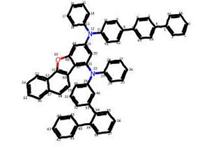 c1ccc(-c2ccc(-c3ccc(N(c4ccccc4)c4cc(N(c5ccccc5)c5cccc(-c6ccccc6-c6ccccc6)c5)c5c(c4)oc4c6ccccc6ccc45)cc3)cc2)cc1